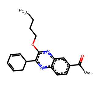 COC(=O)c1ccc2nc(C3C=CC=CC3)c(OCCCC(=O)O)nc2c1